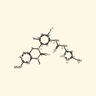 CNc1ncc2c(n1)N(C)C(=O)N(c1cc(NC(=O)Nc3cc(C(C)(C)C)no3)c(F)cc1C)C2